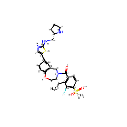 CCc1c(C(=O)N2CCOc3ccc(-c4cnc(NC[C@@H]5CCCN5)s4)cc3C2)ccc(S(C)(=O)=O)c1F